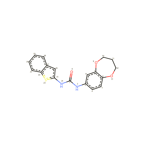 O=C(Nc1ccc2c(c1)OCCCO2)Nc1cc2ccccc2s1